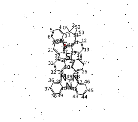 CC1(C)c2ccccc2Sc2c(cccc2[Si](c2ccccc2)(c2ccccc2)c2cccc(-n3c4ccccc4n4c5ccccc5nc34)c2)C1(C)C